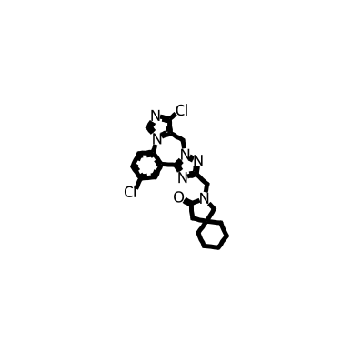 O=C1CC2(CCCCC2)CN1Cc1nc2n(n1)Cc1c(Cl)ncn1-c1ccc(Cl)cc1-2